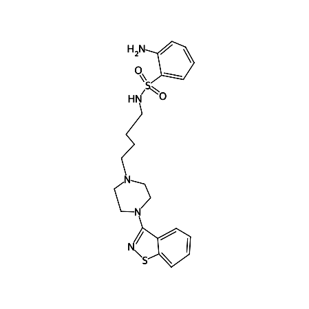 Nc1ccccc1S(=O)(=O)NCCCCN1CCN(c2nsc3ccccc23)CC1